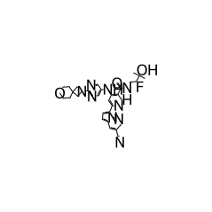 CC(C)(O)C(F)CNC(=O)c1cnc(-c2ccc3cc(C#N)cnn23)cc1Nc1cnc(N2CC3(CCOCC3)C2)nc1